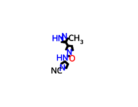 Cc1n[nH]cc1C1CCN(C(=O)N[C@@H]2CCN(C#N)C2)C1